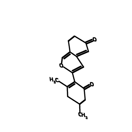 CC1=C(C2=CC3=CC(=O)CCC3=CO2)C(=O)CC(C)C1